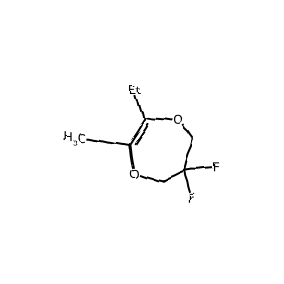 CCC1=C(C)OCC(F)(F)CO1